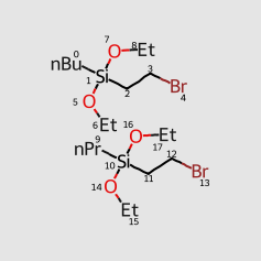 CCCC[Si](CCBr)(OCC)OCC.CCC[Si](CCBr)(OCC)OCC